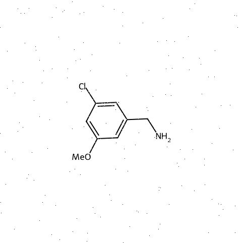 COc1cc(Cl)[c]c(CN)c1